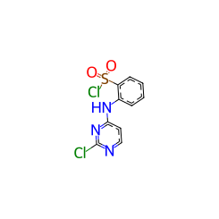 O=S(=O)(Cl)c1ccccc1Nc1ccnc(Cl)n1